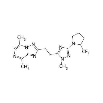 Cc1ncc(C)n2nc(CCc3nc(N4CCCC4C(F)(F)F)nn3C)nc12